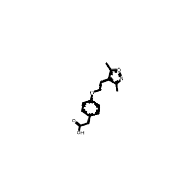 Cc1noc(C)c1CCOc1ccc(CC(=O)O)cc1